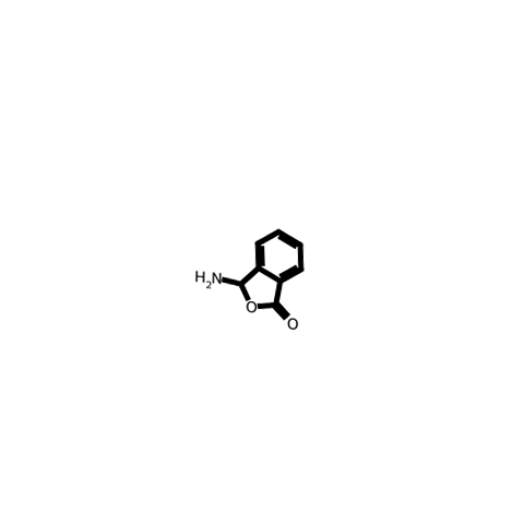 NC1OC(=O)c2ccccc21